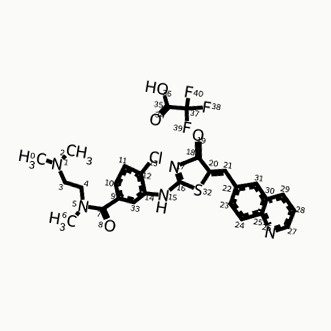 CN(C)CCN(C)C(=O)c1ccc(Cl)c(NC2=NC(=O)/C(=C/c3ccc4ncccc4c3)S2)c1.O=C(O)C(F)(F)F